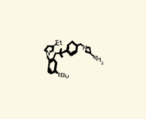 CC[C@@H]1CCN(Cc2ccc(C(C)(C)C)cc2CC(C)(C)c2ccc(CN3CC(N)C3)cc2)C1